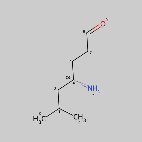 CC(C)C[C@@H](N)CCC=O